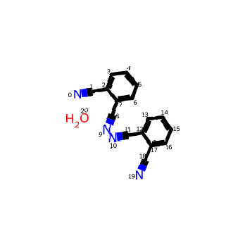 N#Cc1ccccc1C#N.N#Cc1ccccc1C#N.O